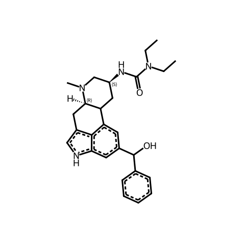 CCN(CC)C(=O)N[C@H]1CC2c3cc(C(O)c4ccccc4)cc4[nH]cc(c34)C[C@H]2N(C)C1